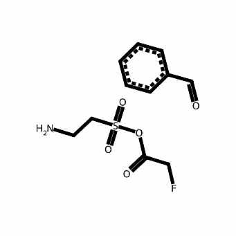 NCCS(=O)(=O)OC(=O)CF.O=Cc1ccccc1